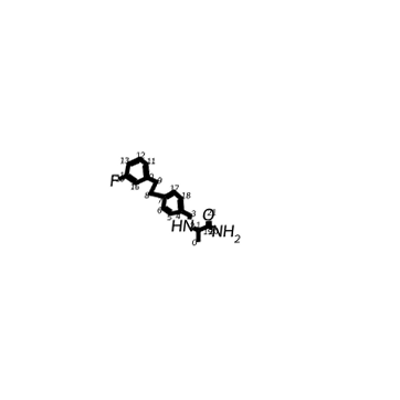 CC(NCc1ccc(CCc2cccc(F)c2)cc1)C(N)=O